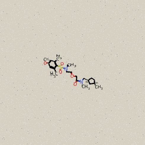 COc1cc(C)c(S(=O)(=O)N(C)CCOCC(=O)N(C)C[C@H]2CC[C@@H](C)C2)c(C)c1